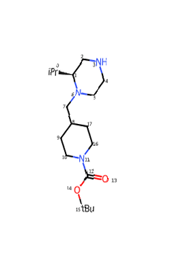 CC(C)[C@H]1CNCCN1CC1CCN(C(=O)OC(C)(C)C)CC1